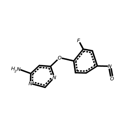 Nc1cc(Oc2ccc(N=O)cc2F)ncn1